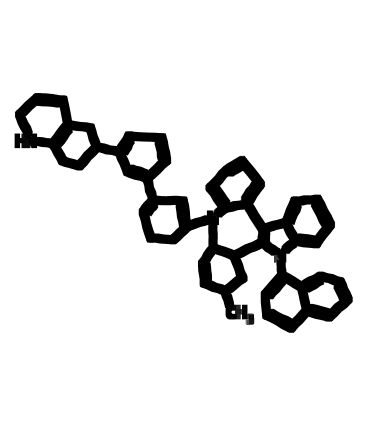 CC1C=CC2C(C1)c1c(c3ccccc3n1-c1cccc3ccccc13)-c1ccccc1N2C1=CC(c2cccc(C3CCC4=C(C=CCN4)C3)c2)=CCC1